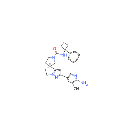 N#Cc1cc(-c2cc3n(n2)CC[C@@]32CCN(C(=O)NC3(c4ccccc4)CCC3)C2)cnc1N